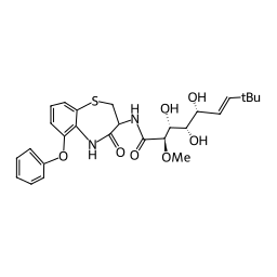 CO[C@@H](C(=O)NC1CSc2cccc(Oc3ccccc3)c2NC1=O)[C@H](O)[C@@H](O)[C@H](O)/C=C/C(C)(C)C